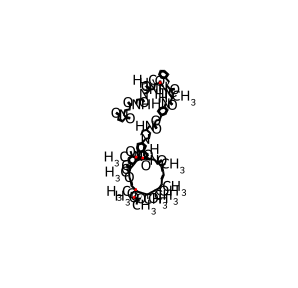 CO[C@H]1/C=C/O[C@@]2(C)Oc3c(C)c(O)c4c(=O)c(c5oc6cc(N7CCC(NC(=O)OCc8ccc(NC(=O)[C@H](C)NC(=O)[C@H](Cc9ccccc9)NC(=O)[C@H](C)NC(=O)CNC(=O)CNC(=O)CCN9C(=O)C=CC9=O)cc8)CC7)ccc6nc-5c4c3C2=O)NC(=O)/C(C)=C\C=C\[C@H](C)[C@H](O)[C@@H](C)[C@@H](O)[C@@H](C)[C@H](OC(C)=O)[C@@H]1C